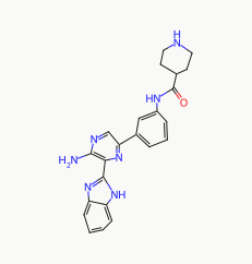 Nc1ncc(-c2cccc(NC(=O)C3CCNCC3)c2)nc1-c1nc2ccccc2[nH]1